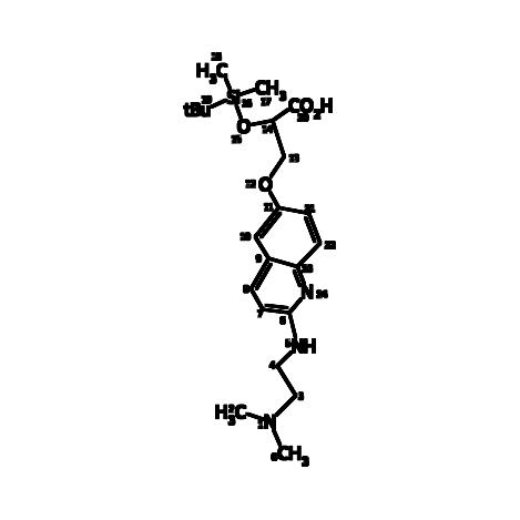 CN(C)CCNc1ccc2cc(OCC(O[Si](C)(C)C(C)(C)C)C(=O)O)ccc2n1